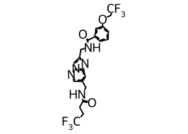 O=C(CCC(F)(F)F)NCc1cnn2cc(CNC(=O)c3cccc(OCC(F)(F)F)c3)nc2c1